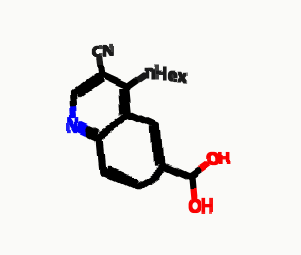 CCCCCCc1c(C#N)cnc2ccc(C(O)O)cc12